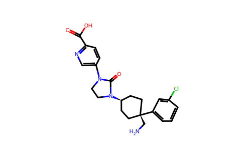 NC[C@]1(c2cccc(Cl)c2)CC[C@H](N2CCN(c3ccc(C(=O)O)nc3)C2=O)CC1